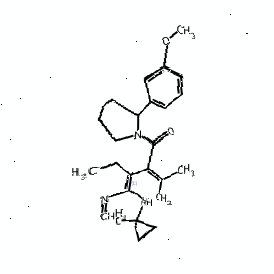 C=N/C(NC1(C)CC1)=C(\CC)C(C(=O)N1CCCC1c1cccc(OC)c1)=C(C)C